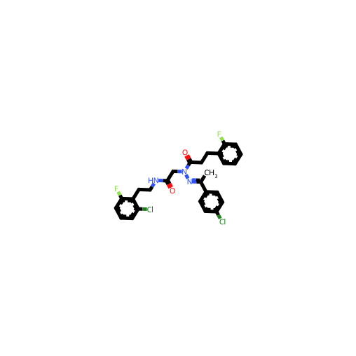 C/C(=N\N(CC(=O)NCCc1c(F)cccc1Cl)C(=O)CCc1ccccc1F)c1ccc(Cl)cc1